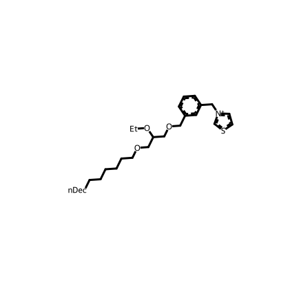 CCCCCCCCCCCCCCCCOCC(COCc1cccc(C[n+]2ccsc2)c1)OCC